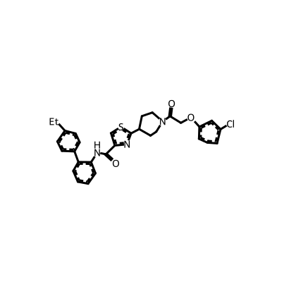 CCc1ccc(-c2ccccc2NC(=O)c2csc(C3CCN(C(=O)COc4cccc(Cl)c4)CC3)n2)cc1